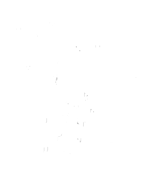 O=C(O)c1ccc(-c2nnc(N3[C@@H]4CC[C@H]3CC(OCc3c(-c5ccccc5OC(F)(F)F)noc3C3CC3)C4)o2)s1